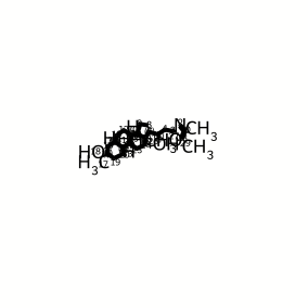 Cc1nc(C[C@H](O)[C@H]2CC[C@H]3[C@@H]4CC[C@@H]5C[C@](C)(O)CC[C@@H]5[C@H]4CC[C@]23C)oc1C